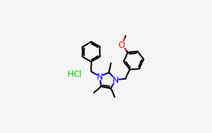 COc1cccc(CN2C(C)=C(C)N(Cc3ccccc3)C2C)c1.Cl